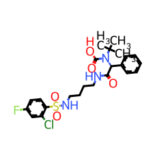 CC(C)(C)N(C(=O)O)[C@H](C(=O)NCCCCNS(=O)(=O)c1ccc(F)cc1Cl)c1ccccc1